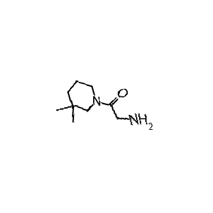 CC1(C)CCCN(C(=O)CN)C1